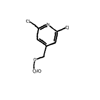 O=[C]OCc1cc(Cl)nc(Cl)c1